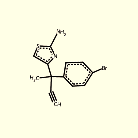 C#CC(C)(c1ccc(Br)cc1)c1csc(N)n1